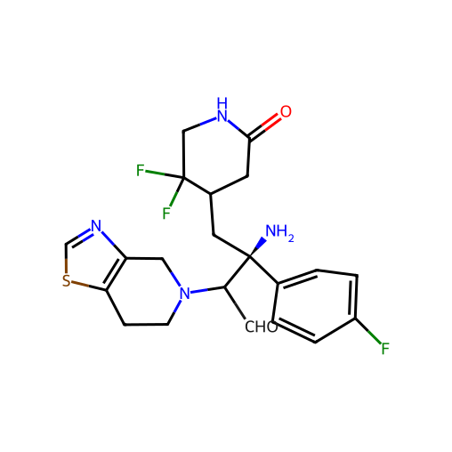 N[C@@](CC1CC(=O)NCC1(F)F)(c1ccc(F)cc1)C(C=O)N1CCc2scnc2C1